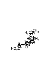 C[C@H](CC(C)(F)F)OC(=O)Nc1c(-c2ccc(C#CC3(CC(=O)O)CC3)c(Cl)n2)nnn1C